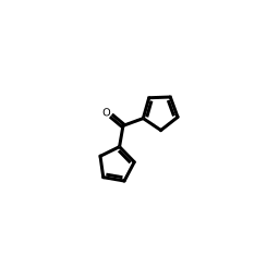 O=C(C1=CC=CC1)C1=CC=CC1